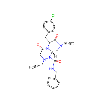 C#CCN1CC(=O)N2C(Cc3ccc(Cl)cc3)C(=O)N(CCCCCCC)C[C@@H]2N1C(=O)NCc1ccccc1